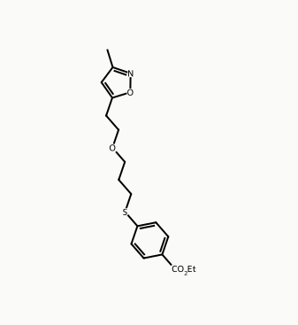 CCOC(=O)c1ccc(SCCCOCCc2cc(C)no2)cc1